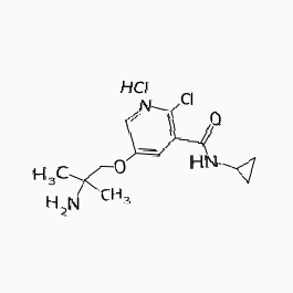 CC(C)(N)COc1cnc(Cl)c(C(=O)NC2CC2)c1.Cl